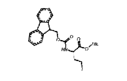 CC(C)(C)OC(=O)[C@H](CCI)NC(=O)OCC1c2ccccc2-c2ccccc21